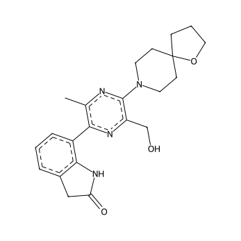 Cc1nc(N2CCC3(CCCO3)CC2)c(CO)nc1-c1cccc2c1NC(=O)C2